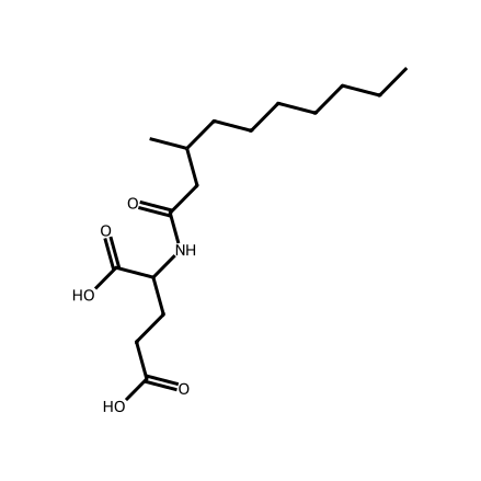 CCCCCCCC(C)CC(=O)NC(CCC(=O)O)C(=O)O